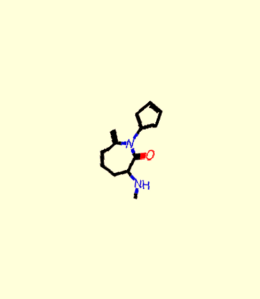 C=C1CCCC(NC)C(=O)N1C1CC=CC1